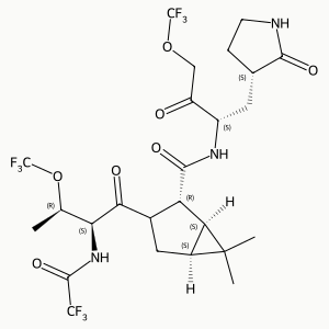 C[C@@H](OC(F)(F)F)[C@H](NC(=O)C(F)(F)F)C(=O)C1C[C@H]2[C@@H]([C@H]1C(=O)N[C@@H](C[C@@H]1CCNC1=O)C(=O)COC(F)(F)F)C2(C)C